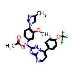 COc1cc(N(OC(C)=O)c2nc3nccc(-c4ccc(OC(F)(F)F)cc4)n3n2)ccc1-n1cnc(C)c1